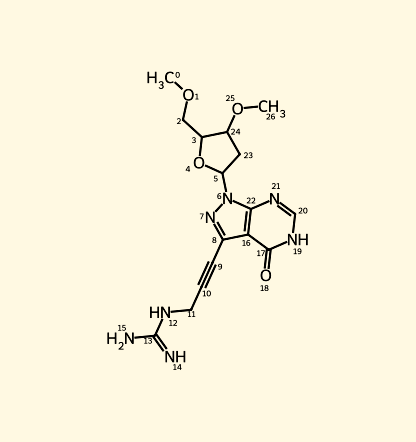 COCC1OC(n2nc(C#CCNC(=N)N)c3c(=O)[nH]cnc32)CC1OC